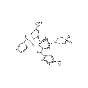 O=C(Nc1cnccn1)[C@@H]1C[C@H](O)CN1c1nc(Nc2cc(C3CC3)n[nH]2)nc(N2CCS(=O)(=O)CC2)n1